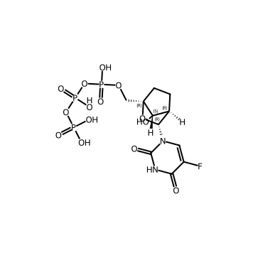 O=c1[nH]c(=O)n([C@@H]2O[C@@]3(COP(=O)(O)OP(=O)(O)OP(=O)(O)O)CC[C@@H]2[C@@H]3O)cc1F